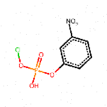 O=[N+]([O-])c1cccc(OP(=O)(O)OCl)c1